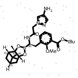 COc1c(C[C@H](NC(=O)Cn2cc(N)cn2)B2O[C@@H]3C[C@@H]4C[C@@H](C4(C)C)[C@]3(C)O2)cccc1C(=O)OC(C)(C)C